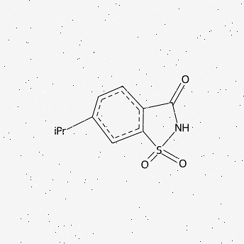 CC(C)c1ccc2c(c1)S(=O)(=O)NC2=O